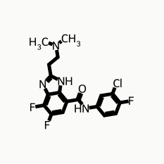 CN(C)CCc1nc2c(F)c(F)cc(C(=O)Nc3ccc(F)c(Cl)c3)c2[nH]1